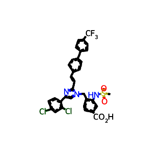 CS(=O)(=O)Nc1cc(C(=O)O)ccc1Cn1cc(-c2ccc(Cl)cc2Cl)nc1C=Cc1ccc(-c2ccc(C(F)(F)F)cc2)cc1